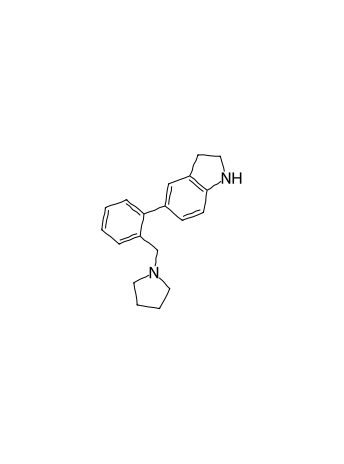 c1ccc(-c2ccc3c(c2)CCN3)c(CN2CCCC2)c1